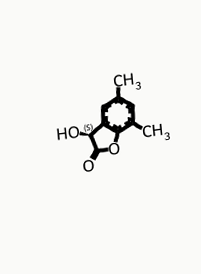 Cc1cc(C)c2c(c1)[C@H](O)C(=O)O2